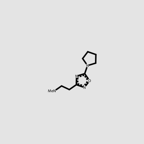 CNCCc1noc(N2CCCC2)n1